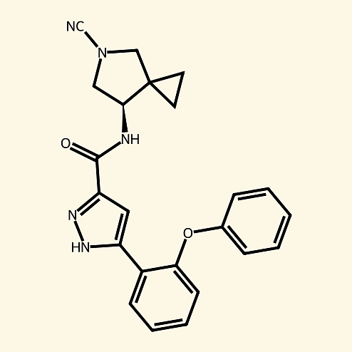 N#CN1C[C@H](NC(=O)c2cc(-c3ccccc3Oc3ccccc3)[nH]n2)C2(CC2)C1